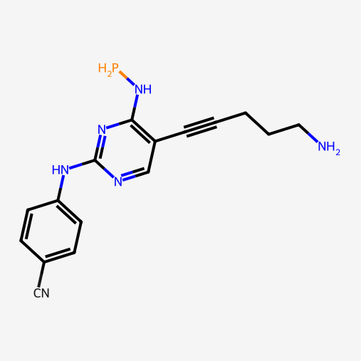 N#Cc1ccc(Nc2ncc(C#CCCCN)c(NP)n2)cc1